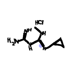 CN/C(=N\C1CC1)NC(=N)N.Cl